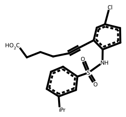 CC(C)c1cccc(S(=O)(=O)Nc2ccc(Cl)cc2C#CCCCC(=O)O)c1